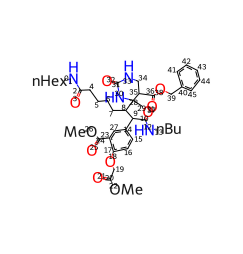 CCCCCCNC(=O)CCCCC(C(C(=O)NCCCC)c1ccc(OCC(=O)OC)c(C(=O)OC)c1)C1(C)NC(=O)NCC1C(=O)OCc1ccccc1